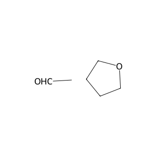 C1CCOC1.CC=O